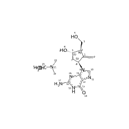 C=C1[C@H](CO)[C@@H](O)C[C@@H]1n1cnc2c(=O)[nH]c(N)nc21.CN(C)C=O.O